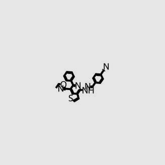 CCOc1ccccc1-c1nc(NN=Cc2ccc(C#N)cc2)c2ccsc2c1C#N